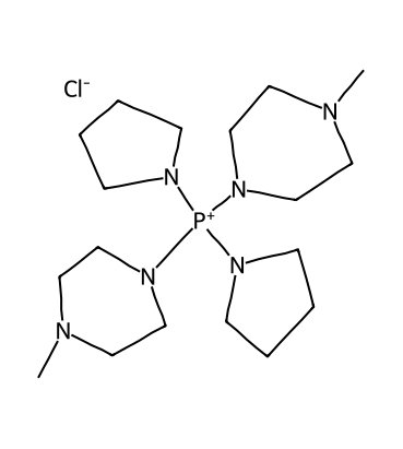 CN1CCN([P+](N2CCCC2)(N2CCCC2)N2CCN(C)CC2)CC1.[Cl-]